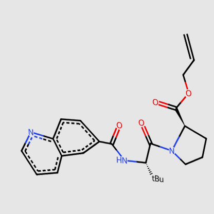 C=CCOC(=O)[C@H]1CCCN1C(=O)[C@@H](NC(=O)c1ccc2ncccc2c1)C(C)(C)C